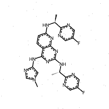 C[C@H](Nc1ccc2c(Nc3cn(C)cn3)nc(N[C@@H](C)c3ncc(F)cn3)nc2n1)c1ncc(F)cn1